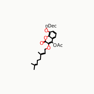 CCCCCCCCCCOc1cccc2c(OC(C)=O)c(OC/C=C(\C)CCC=C(C)C)c(=O)oc12